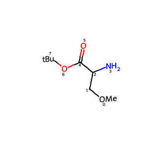 COCC(N)C(=O)OC(C)(C)C